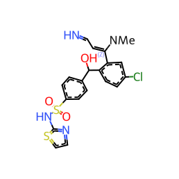 CN/C(=C\C=N)c1cc(Cl)ccc1C(O)c1ccc(S(=O)(=O)Nc2nccs2)cc1